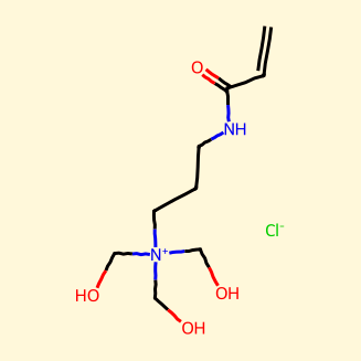 C=CC(=O)NCCC[N+](CO)(CO)CO.[Cl-]